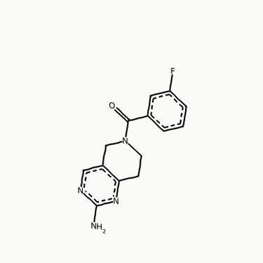 Nc1ncc2c(n1)CCN(C(=O)c1cccc(F)c1)C2